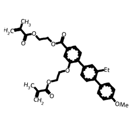 C=C(C)C(=O)OCCOC(=O)c1ccc(-c2ccc(-c3ccc(OC)cc3)c(CC)c2)c(OCCOC(=O)C(=C)C)c1